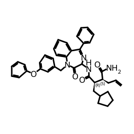 C=CC[C@H](C(N)=O)[C@@H](CC1CCCC1)C(=O)NC1N=C(c2ccccc2)c2ccccc2N(Cc2cccc(Oc3ccccc3)c2)C1=O